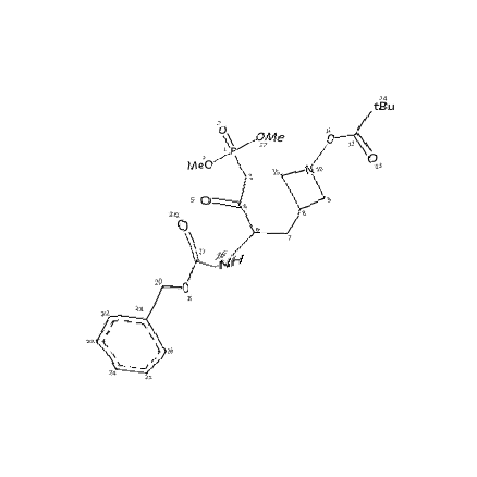 COP(=O)(CC(=O)C(CC1CN(OC(=O)C(C)(C)C)C1)NC(=O)OCc1ccccc1)OC